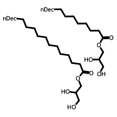 CCCCCCCCCCCCCCCCCC(=O)OCC(O)CO.CCCCCCCCCCCCCCCCCCCCCC(=O)OCC(O)CO